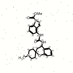 COC(=O)n1ncc2c(NC(=O)NC3CC4(CCN(C)CC4)Oc4ccccc43)cccc21